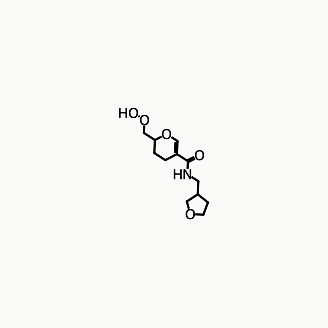 O=C(NCC1CCOC1)C1=COC(COO)CC1